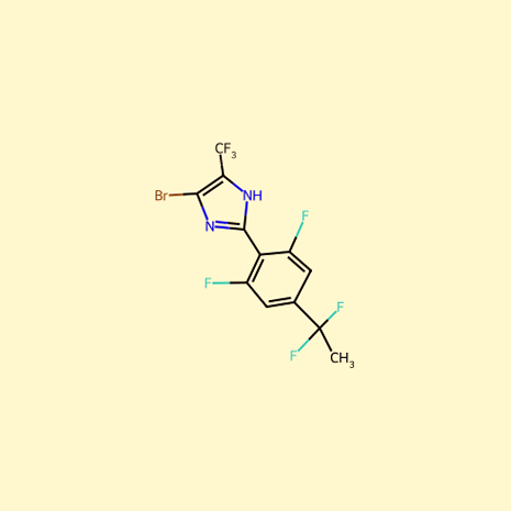 CC(F)(F)c1cc(F)c(-c2nc(Br)c(C(F)(F)F)[nH]2)c(F)c1